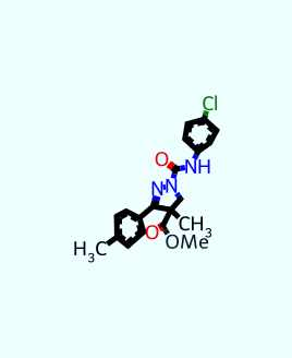 COC(=O)C1(C)CN(C(=O)Nc2ccc(Cl)cc2)N=C1c1ccc(C)cc1